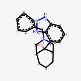 OC1(c2cccc3c2NNN3)C2CCCC1CN(Cc1ccccc1)C2